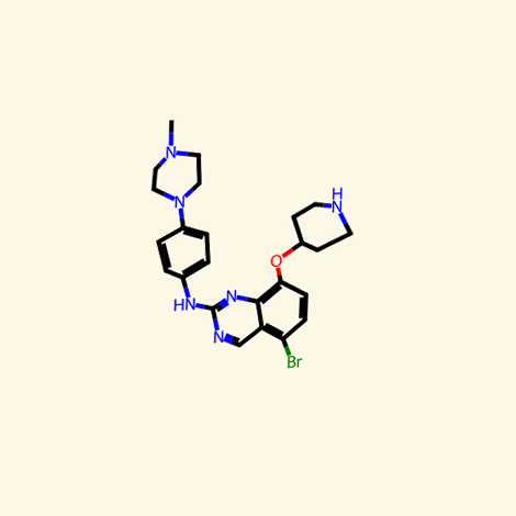 CN1CCN(c2ccc(Nc3ncc4c(Br)ccc(OC5CCNCC5)c4n3)cc2)CC1